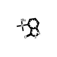 CC(C)(C)[Si](C)(C)c1cccc2ssc(=O)c12